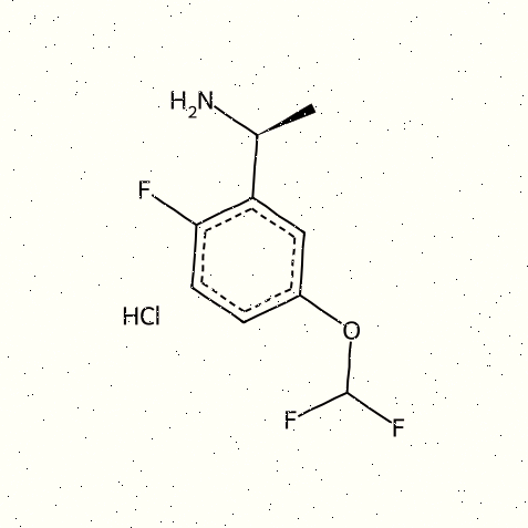 C[C@H](N)c1cc(OC(F)F)ccc1F.Cl